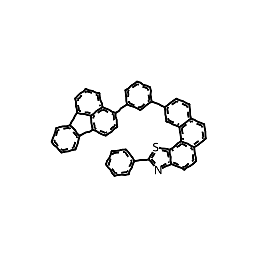 c1ccc(-c2nc3ccc4ccc5ccc(-c6cccc(-c7ccc8c9c(cccc79)-c7ccccc7-8)c6)cc5c4c3s2)cc1